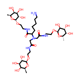 C[C@@H]1O[C@@H](OCCNC(=O)CN(CC(=O)NCCO[C@H]2O[C@@H](C)[C@@H](O)[C@@H](O)[C@@H]2O)C(CCCCCN)C(=O)NCCO[C@@H]2O[C@@H](C)[C@@H](O)[C@@H](O)[C@@H]2O)[C@@H](O)[C@H](O)[C@@H]1O